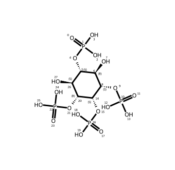 O=P(O)(O)O[C@@H]1[C@@H](O)[C@H](OP(=O)(O)O)[C@H](OP(=O)(O)O)[C@H](OP(=O)(O)O)[C@H]1O